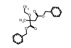 CC(CC(=O)OCc1ccccc1)(OCC(F)(F)F)C(=O)OCc1ccccc1